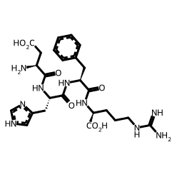 N=C(N)NCCC[C@H](NC(=O)[C@H](Cc1ccccc1)NC(=O)[C@H](Cc1c[nH]cn1)NC(=O)[C@@H](N)CC(=O)O)C(=O)O